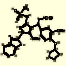 CNc1c(C(CC=O)c2ccc(OC3CCCC3)c(OC)c2)c(OS(=O)(=O)C(F)(F)F)nn1-c1nc2ccccc2s1